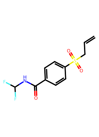 C=CCS(=O)(=O)c1ccc(C(=O)NC(F)F)cc1